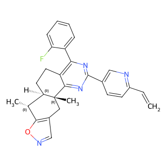 C=Cc1ccc(-c2nc(-c3ccccc3F)c3c(n2)[C@]2(C)Cc4cnoc4[C@H](C)[C@H]2CC3)cn1